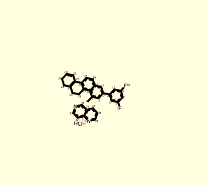 Cc1cc(-c2cc(F)cc(F)c2)cc2ccc3c(c12)CCC1=C3C=CCC1.Cl.c1cnc2ccncc2c1